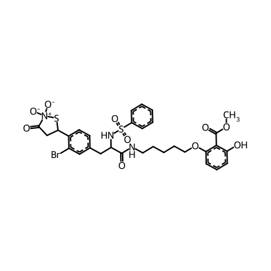 COC(=O)c1c(O)cccc1OCCCCCNC(=O)C(Cc1ccc(C2CC(=O)[N+]([O-])([O-])S2)c(Br)c1)NS(=O)(=O)c1ccccc1